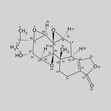 CC(C)[C@]12O[C@H]1[C@]13O[C@H]1C[C@H]1C4=C(CC[C@]1(C)[C@@]31O[C@H]1[C@@H]2O)C(=O)OC4